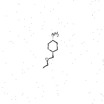 CCOC[C@H]1CC[C@H](N)CC1